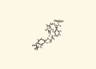 CN(C(=O)Cc1ccc2c(c1)CC(=O)N2)[C@H](CN1CC[C@H](O)C1)c1cccc(OCC(=O)O)c1